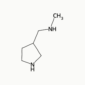 CNCC1CCNC1